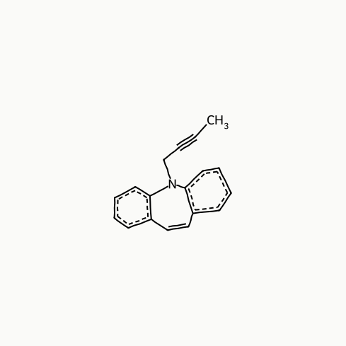 CC#CCN1c2ccccc2C=Cc2ccccc21